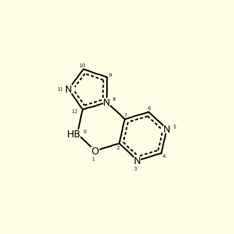 B1Oc2ncncc2-n2ccnc21